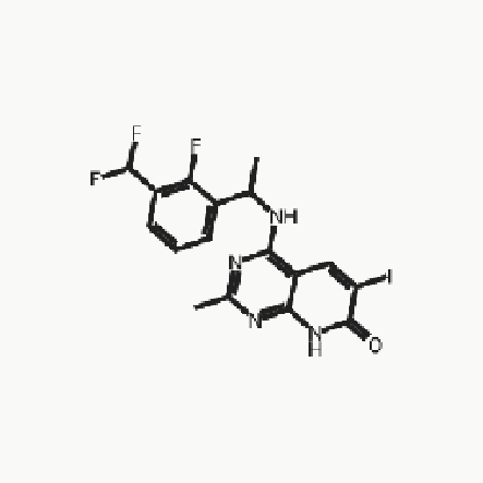 Cc1nc(NC(C)c2cccc(C(F)F)c2F)c2cc(I)c(=O)[nH]c2n1